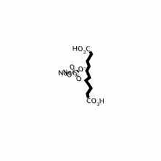 O=C(O)CCCCCCCCC(=O)O.O=S(=O)([O-])[O-].[Na+].[Na+]